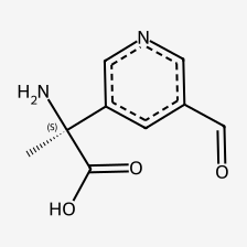 C[C@@](N)(C(=O)O)c1cncc(C=O)c1